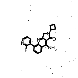 Nc1c2c(nc3c(-c4cccnc4F)cccc13)CN(C1CCC1)C2=O